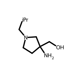 CC(C)CN1CCC(N)(CO)C1